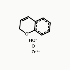 C1=Cc2ccccc2OC1.[OH-].[OH-].[Zn+2]